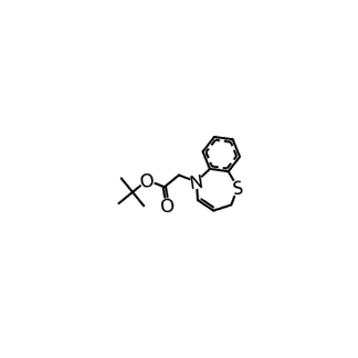 CC(C)(C)OC(=O)CN1C=CCSc2ccccc21